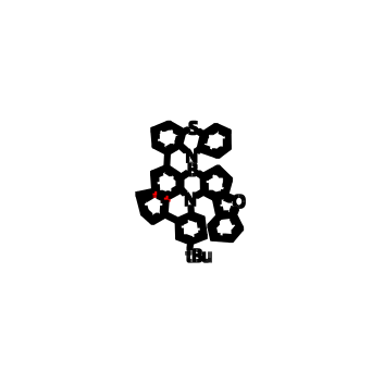 Cc1cc2c3c(c1)N(c1ccc(C(C)(C)C)cc1-c1ccccc1)c1c(ccc4oc5ccccc5c14)B3N1c3ccccc3Sc3cccc-2c31